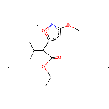 CCOC(=O)C(c1cc(OC)no1)C(C)C